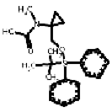 CN(C(=O)O)C1(CO[Si](c2ccccc2)(c2ccccc2)C(C)(C)C)CC1